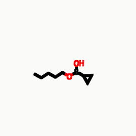 CCCCCOB(O)C1CC1